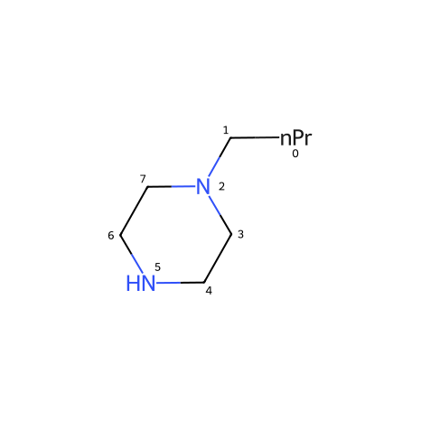 C[CH]CCN1CCNCC1